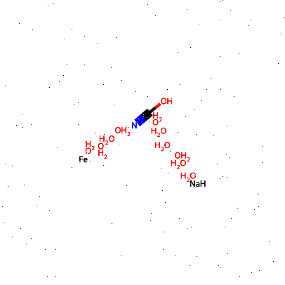 N#CO.O.O.O.O.O.O.O.O.O.O.[Fe].[NaH]